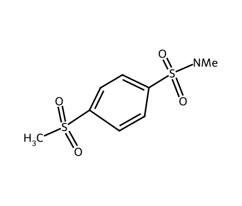 CNS(=O)(=O)c1ccc(S(C)(=O)=O)cc1